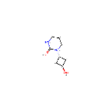 O=C1NCCCN1[C@H]1C[C@H](O)C1